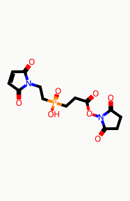 O=C(CCP(=O)(O)CCN1C(=O)C=CC1=O)ON1C(=O)CCC1=O